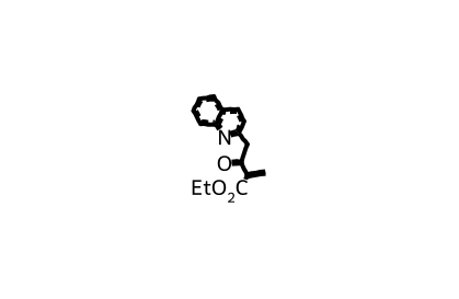 C=C(C(=O)Cc1ccc2ccccc2n1)C(=O)OCC